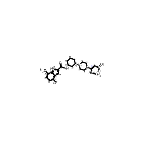 CN/C(=C\[N+](=O)[O-])N1CCN([C@@H]2CCC[C@@H](NC(=O)c3cc4c(F)ccc(C)c4[nH]3)C2)CC1